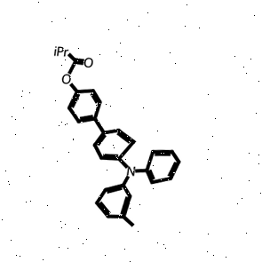 Cc1cccc(N(c2ccccc2)c2ccc(-c3ccc(OC(=O)C(C)C)cc3)cc2)c1